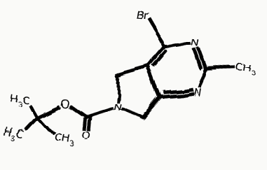 Cc1nc(Br)c2c(n1)CN(C(=O)OC(C)(C)C)C2